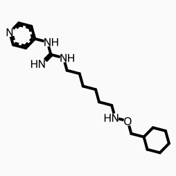 N=C(NCCCCCCNOCC1CCCCC1)Nc1ccncc1